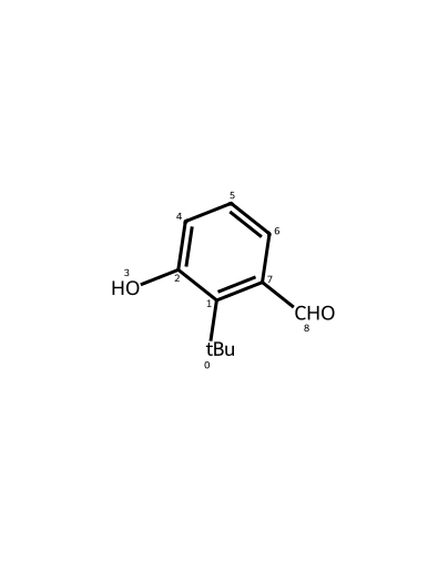 CC(C)(C)c1c(O)cccc1C=O